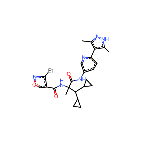 CCc1nocc1C(=O)NC(C)(C(=O)Nc1ccc(-c2c(C)n[nH]c2C)nc1)C(C1CC1)C1CC1